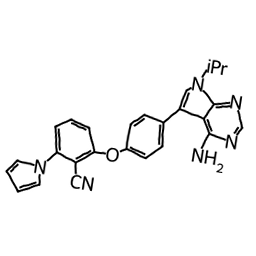 CC(C)n1cc(-c2ccc(Oc3cccc(-n4cccc4)c3C#N)cc2)c2c(N)ncnc21